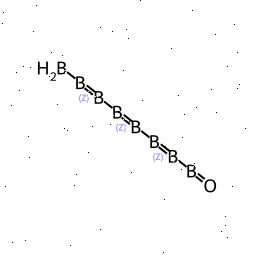 B\B=B/B=B\B=B/B=O